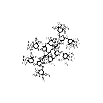 CN1C(C)(C)CC(OC2=NN(OC3CC(C)(C)N(C)C(C)(C)C3)NC(NCCCN(CCN(CCCNC3=CC(OC4CC(C)(C)N(C)C(C)(C)C4)=NN(OC4CC(C)(C)N(C)C(C)(C)C4)N3)C3=CC(OC4CC(C)(C)N(C)C(C)(C)C4)=NN(OC4CC(C)(C)N(C)C(C)(C)C4)N3)C3=CC(OC4CC(C)(C)N(C)C(C)(C)C4)=NN(OC4CC(C)(C)N(C)C(C)(C)C4)N3)=C2)CC1(C)C